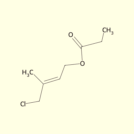 CCC(=O)OC/C=C(\C)CCl